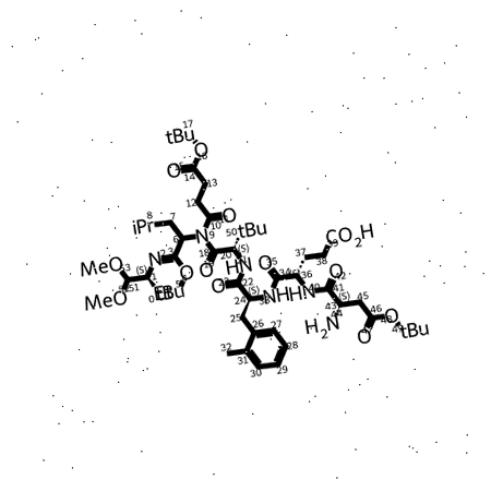 CC[C@H](N=C(OC(C)(C)C)C(CC(C)C)N(C(=O)CCC(=O)OC(C)(C)C)C(=O)[C@@H](NC(=O)[C@H](Cc1ccccc1C)NC(=O)[C@H](CCC(=O)O)NC(=O)[C@@H](N)CC(=O)OC(C)(C)C)C(C)(C)C)C(OC)OC